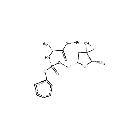 CC(C)OC(=O)[C@@H](C)N[P@@](=O)(OC[C@@H]1C[C@@](C)(F)[C@H](C)O1)Oc1ccccc1